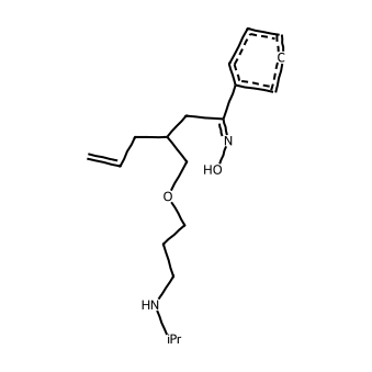 C=CCC(COCCCNC(C)C)CC(=NO)c1ccccc1